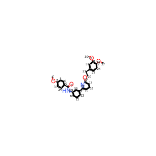 COc1ccc(C(=O)Nc2cccc(-c3cccc(OCCc4ccc(OC)c(OC)c4)n3)c2)cc1